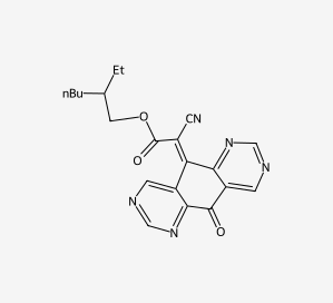 CCCCC(CC)COC(=O)/C(C#N)=C1\c2cncnc2C(=O)c2cncnc21